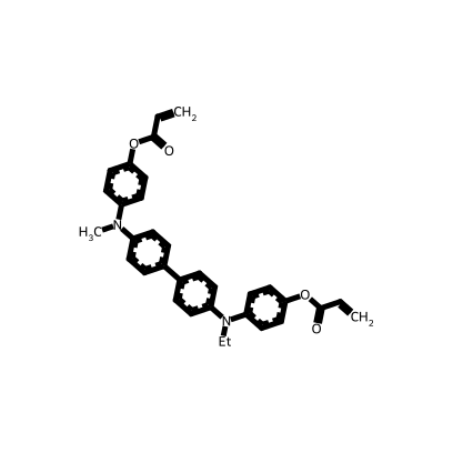 C=CC(=O)Oc1ccc(N(C)c2ccc(-c3ccc(N(CC)c4ccc(OC(=O)C=C)cc4)cc3)cc2)cc1